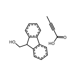 CC#CC(=O)O.OCC1c2ccccc2-c2ccccc21